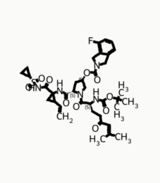 C=CC1CC1(NC(=O)[C@@H]1C[C@@H](OC(=O)N2Cc3cccc(F)c3C2)CN1C(=O)[C@H](CCC(=O)C=C(C)C)NC(=O)OC(C)(C)C)C(=O)NS(=O)(=O)C1CC1